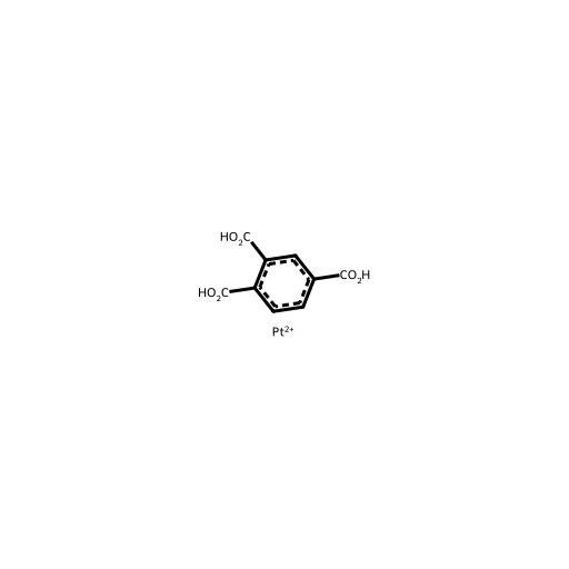 O=C(O)c1ccc(C(=O)O)c(C(=O)O)c1.[Pt+2]